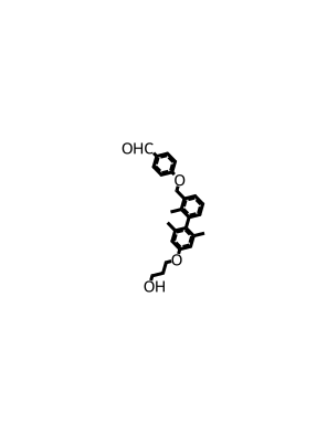 Cc1cc(OCCCO)cc(C)c1-c1cccc(COc2ccc(C=O)cc2)c1C